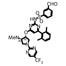 CN[C@@H]1CN(c2ncc(C(F)(F)F)cn2)C[C@H]1Oc1cc(-c2c(C)cccc2C)nc(NS(=O)(=O)c2cccc(C=O)c2)n1